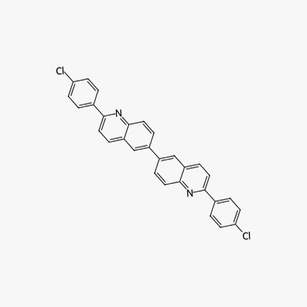 Clc1ccc(-c2ccc3cc(-c4ccc5nc(-c6ccc(Cl)cc6)ccc5c4)ccc3n2)cc1